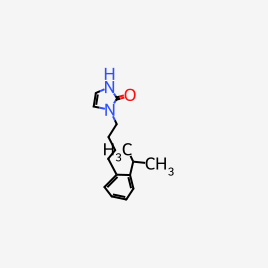 CC(C)c1ccccc1CCCCn1cc[nH]c1=O